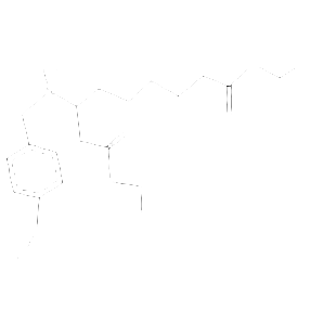 CCOC(=O)CCCCCC(CC(=O)OCC)N(C)Cc1ccc(OC)cc1